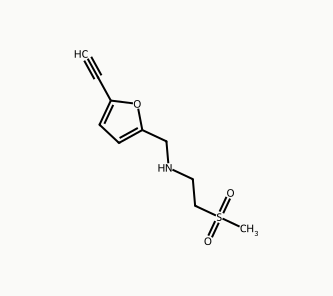 C#Cc1ccc(CNCCS(C)(=O)=O)o1